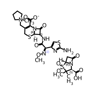 CC1(C)[C@H](C(=O)O)N2C(=O)C[C@H]2S1(=O)=O.CO/N=C(\C(=O)N[C@@H]1C(=O)N2C(C(=O)[O-])=C(C[N+]3(C)CCCC3)CS[C@H]12)c1csc(N)n1